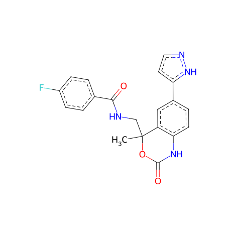 CC1(CNC(=O)c2ccc(F)cc2)OC(=O)Nc2ccc(-c3ccn[nH]3)cc21